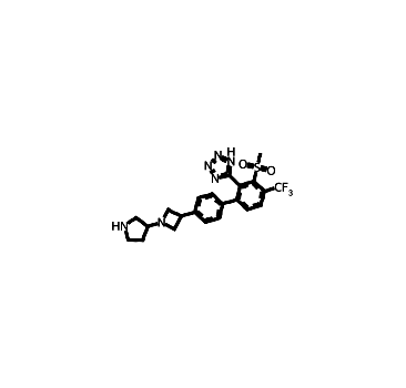 CS(=O)(=O)c1c(C(F)(F)F)ccc(-c2ccc(C3CN(C4CCNC4)C3)cc2)c1-c1nnn[nH]1